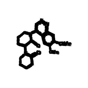 COc1cc2nncc(N3CCCC(N4CCCCC4=O)C3=O)c2cc1OC